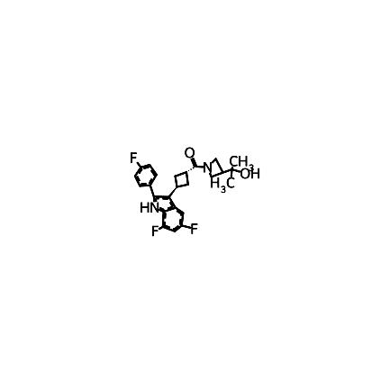 CC(C)(O)C1CN(C(=O)[C@H]2C[C@H](c3c(-c4ccc(F)cc4)[nH]c4c(F)cc(F)cc43)C2)C1